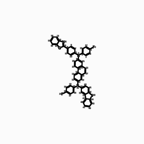 Fc1ccc(N(c2ccc(-c3nc4ccccc4o3)cc2)c2ccc3c(ccc4cc(N(c5ccc(F)cc5)c5ccc6sc7ccccc7c6c5)ccc43)c2)cc1